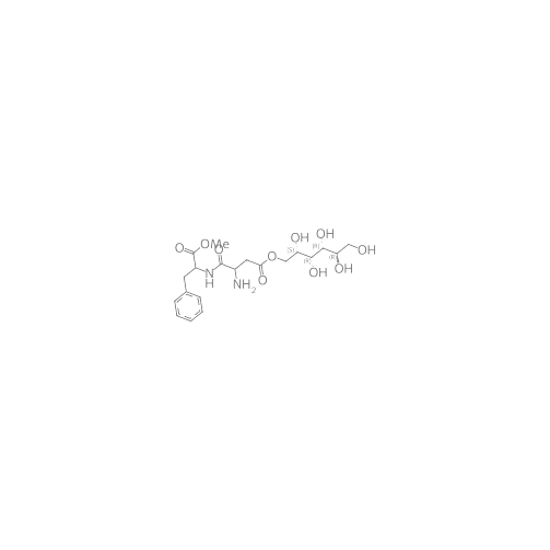 COC(=O)C(Cc1ccccc1)NC(=O)C(N)CC(=O)OC[C@H](O)[C@@H](O)[C@H](O)[C@H](O)CO